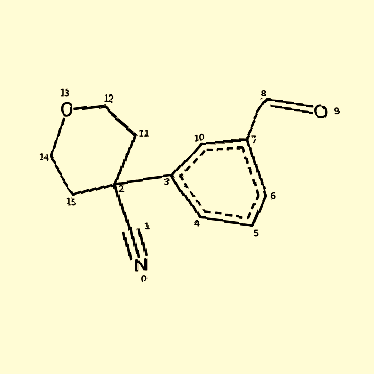 N#CC1(c2cccc([C]=O)c2)CCOCC1